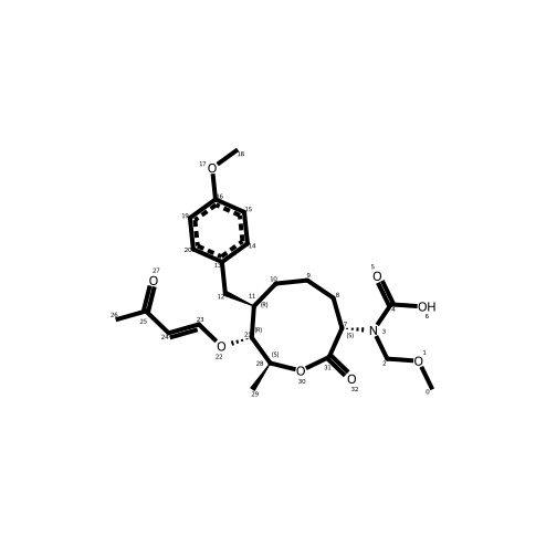 COCN(C(=O)O)[C@H]1CCC[C@H](Cc2ccc(OC)cc2)[C@@H](OC=CC(C)=O)[C@H](C)OC1=O